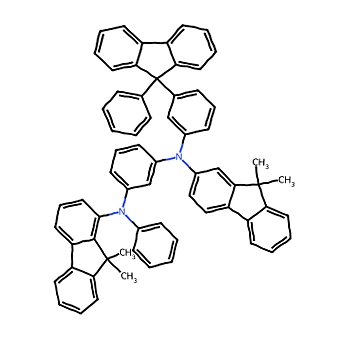 CC1(C)c2ccccc2-c2ccc(N(c3cccc(N(c4ccccc4)c4cccc5c4C(C)(C)c4ccccc4-5)c3)c3cccc(C4(c5ccccc5)c5ccccc5-c5ccccc54)c3)cc21